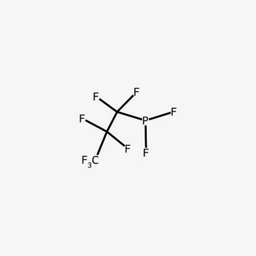 FP(F)C(F)(F)C(F)(F)C(F)(F)F